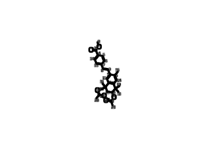 COC(=O)c1ccc(/C=C/c2cc3c(cc2C)C(C)(C)[C@H](OC(C)=O)[C@H](OC(C)=O)C3(C)C)cc1